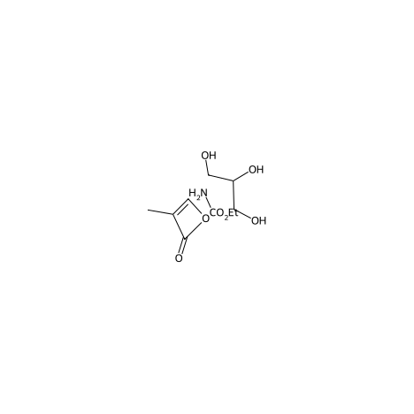 CC1=COC1=O.CCOC(N)=O.OCC(O)CO